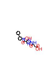 CN(C(=O)c1cnc(NC(=O)CCC(=O)O)nc1O)c1cccc(-c2ccccc2)c1